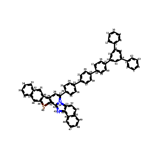 c1ccc(-c2cc(-c3ccccc3)cc(-c3ccc(-c4ccc(-c5ccc(-c6cc7c8cc9ccccc9cc8sc7c7nc8c9ccccc9ccc8n67)cc5)cc4)cc3)c2)cc1